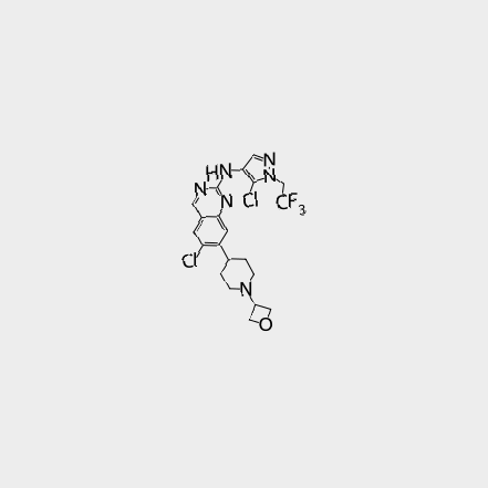 FC(F)(F)Cn1ncc(Nc2ncc3cc(Cl)c(C4CCN(C5COC5)CC4)cc3n2)c1Cl